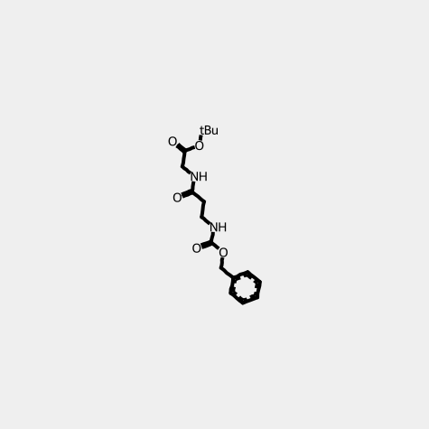 CC(C)(C)OC(=O)CNC(=O)CCNC(=O)OCc1ccccc1